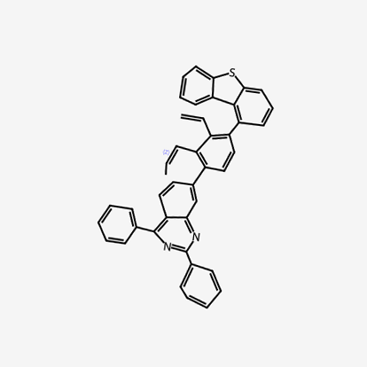 C=Cc1c(-c2cccc3sc4ccccc4c23)ccc(-c2ccc3c(-c4ccccc4)nc(-c4ccccc4)nc3c2)c1/C=C\C